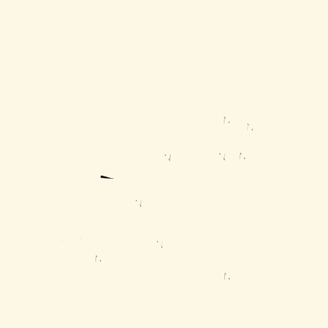 C[C@@H]1CN(c2cc(=O)n(C)c3ccc(C#N)nc23)[C@@H](C)CN1C(c1ccc(F)cc1)c1nnnn1C(C)(C)C